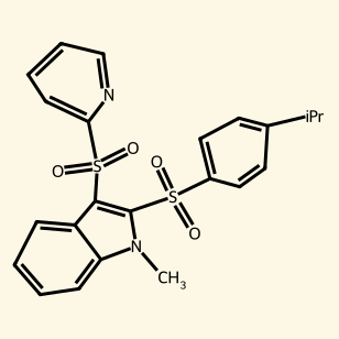 CC(C)c1ccc(S(=O)(=O)c2c(S(=O)(=O)c3ccccn3)c3ccccc3n2C)cc1